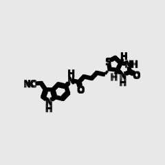 N#CCc1c[nH]c2ccc(NC(=O)CCCC[C@@H]3SC[C@@H]4NC(=O)N[C@@H]43)cc12